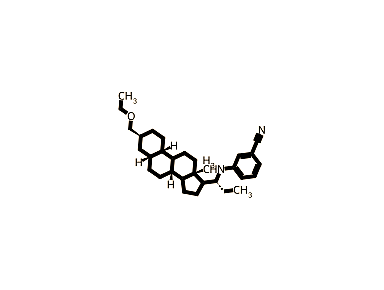 CCOC[C@H]1CC[C@@H]2C3CC[C@@]4(C)C(CCC4[C@@H](CC)Nc4cccc(C#N)c4)[C@@H]3CC[C@@H]2C1